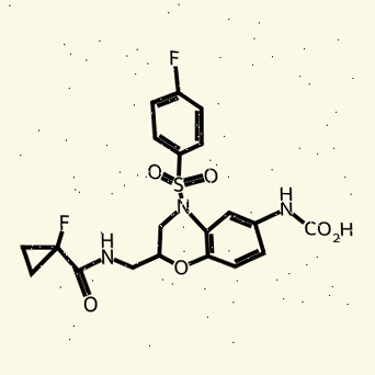 O=C(O)Nc1ccc2c(c1)N(S(=O)(=O)c1ccc(F)cc1)CC(CNC(=O)C1(F)CC1)O2